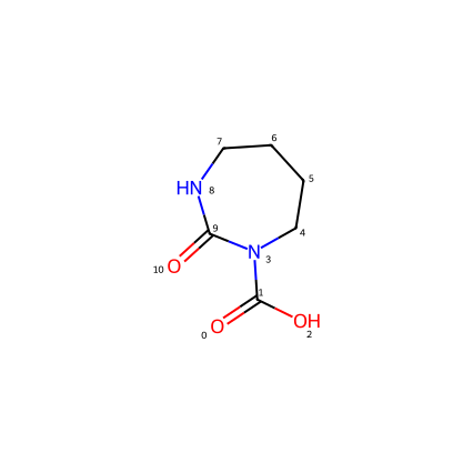 O=C(O)N1CCCCNC1=O